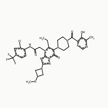 CCc1c(N2CCN(C(=O)c3ncnc(C)c3O)CC2)c(=O)n2nc(N3CC(OC)C3)nc2n1CC(=O)Nc1ccc(C(F)(F)F)cc1Cl